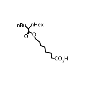 CCCCCCC(CCCC)C(=O)OCCCCCCCC(=O)O